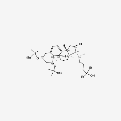 CCC(O)(CC)CCS[C@@H](C)[C@H]1[C@H](O)C[C@H]2C3=CC=C4C[C@@H](O[Si](C)(C)C(C)(C)C)C[C@H](O[Si](C)(C)C(C)(C)C)[C@]4(C)[C@H]3CC[C@]12C